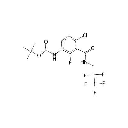 CC(C)(C)OC(=O)Nc1ccc(Cl)c(C(=O)NCC(F)(F)C(F)(F)F)c1F